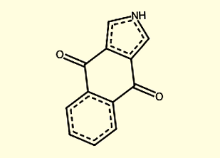 O=C1c2ccccc2C(=O)c2c[nH]cc21